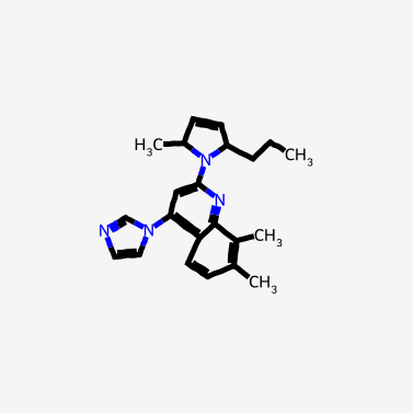 CCCC1C=CC(C)N1c1cc(-n2ccnc2)c2ccc(C)c(C)c2n1